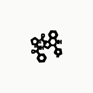 O=C(N[C@@H]1CCC[C@@H]1C(=O)N1CCC2C(c3ccsc3)Nc3ccccc3C21)c1ccccc1